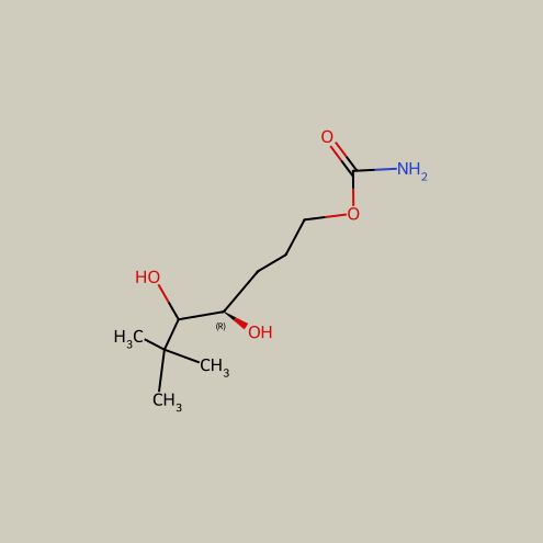 CC(C)(C)C(O)[C@H](O)CCCOC(N)=O